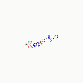 CCCC(OC(=O)Oc1ccc(C(=O)NS(=O)(=O)c2ccc(CCNC(=O)CCC3CCCCC3)cc2)cn1)C(C)C